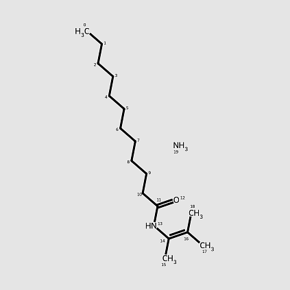 CCCCCCCCCCCC(=O)NC(C)=C(C)C.N